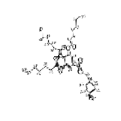 CCCCCCC(=O)Oc1cc(C(=O)OCc2ccc(Br)cc2)cc(OC(=O)CCCCCC)c1OC(=O)CCCCCC